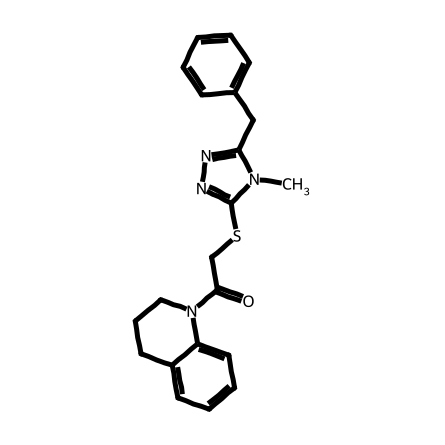 Cn1c(Cc2ccccc2)nnc1SCC(=O)N1CCCc2ccccc21